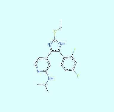 CCSc1nc(-c2ccnc(NC(C)C)c2)c(-c2ccc(F)cc2F)[nH]1